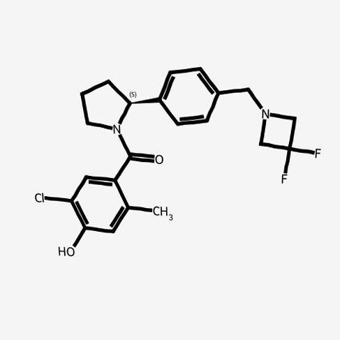 Cc1cc(O)c(Cl)cc1C(=O)N1CCC[C@H]1c1ccc(CN2CC(F)(F)C2)cc1